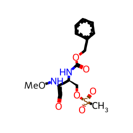 CONC(=C=O)[C@H](COS(C)(=O)=O)NC(=O)OCc1ccccc1